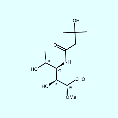 CO[C@@H](C=O)[C@@H](O)[C@H](NC(=O)CC(C)(C)O)[C@@H](C)O